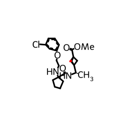 COC(=O)C12CC([C@H](C)NC(=O)C3(NCCOc4cccc(Cl)c4)CCCC3)(C1)C2